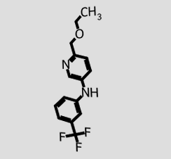 CCOCc1ccc(Nc2cccc(C(F)(F)F)c2)cn1